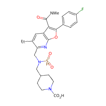 CCc1cc2c(C(=O)NC)c(-c3ccc(F)cc3)oc2nc1CN(CC1CCN(C(=O)O)CC1)[SH](=O)=O